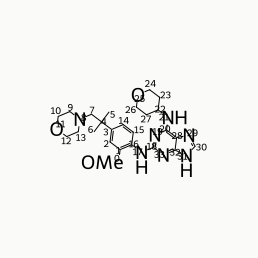 COc1cc(C(C)(C)CN2CCOCC2)ccc1Nc1nc(NC2CCOCC2)c2nc[nH]c2n1